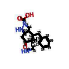 O=C(O)N1CC2C(CC3ONCC[C@@H]3C2Cc2ccccc2)N1